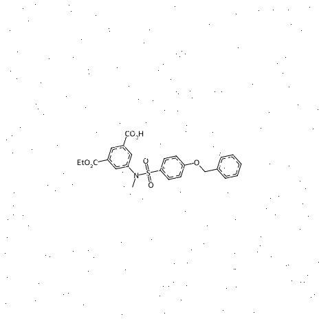 CCOC(=O)c1cc(C(=O)O)cc(N(C)S(=O)(=O)c2ccc(OCc3ccccc3)cc2)c1